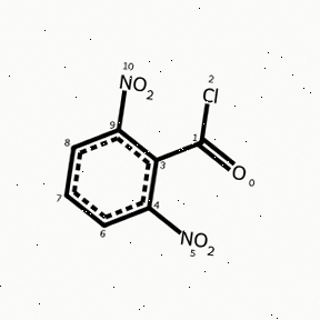 O=C(Cl)c1c([N+](=O)[O-])cccc1[N+](=O)[O-]